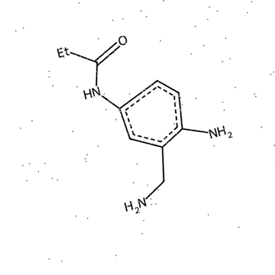 CCC(=O)Nc1ccc(N)c(CN)c1